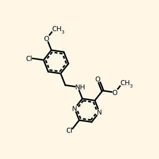 COC(=O)c1ncc(Cl)nc1NCc1ccc(OC)c(Cl)c1